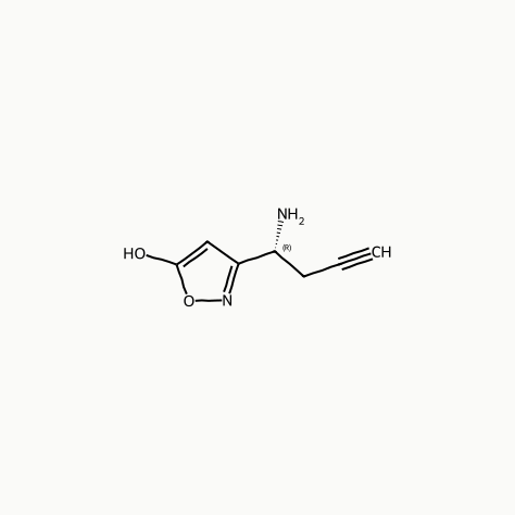 C#CC[C@@H](N)c1cc(O)on1